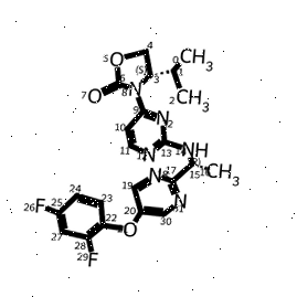 CC(C)[C@H]1COC(=O)N1c1ccnc(N[C@H](C)c2ncc(Oc3ccc(F)cc3F)cn2)n1